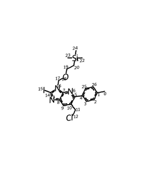 Cc1ccc(-c2nc3c(cc2CCl)nc(I)n3COCC[Si](C)(C)C)cc1